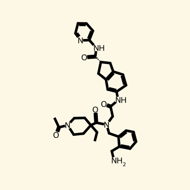 CCC1(C(=O)N(CC(=O)Nc2ccc3c(c2)C[C@H](C(=O)Nc2ccccn2)C3)Cc2ccccc2CN)CCN(C(C)=O)CC1